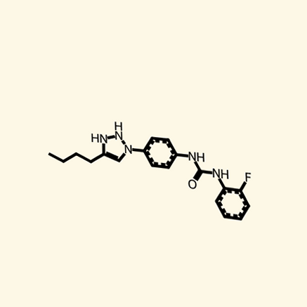 CCCCC1=CN(c2ccc(NC(=O)Nc3ccccc3F)cc2)NN1